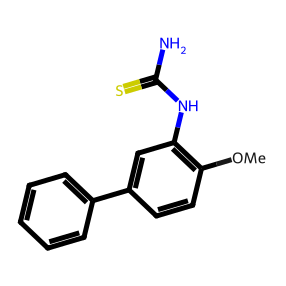 COc1ccc(-c2ccccc2)cc1NC(N)=S